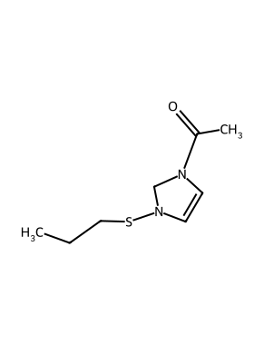 CCCSN1C=CN(C(C)=O)C1